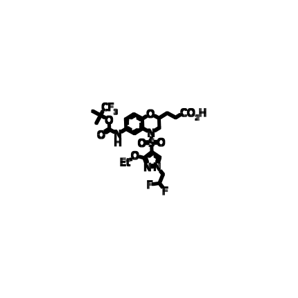 CCOc1nn(CC(F)F)cc1S(=O)(=O)N1CC(CCC(=O)O)Oc2ccc(NC(=O)OC(C)(C)C(F)(F)F)cc21